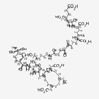 CC(=O)CN1CCN(CC(=O)O)CCN(CC(=O)N[C@H](CNC(=O)c2ccc([Si]([18F])(C(C)(C)C)C(C)(C)C)cc2)C(=O)N[C@H](CCCCNC(=O)CCC(=O)NCCC[C@@H](NC(=O)CC[C@H](NC(=O)N[C@@H](CCC(=O)O)C(=O)O)C(=O)O)C(=O)O)C(=O)O)CCN(CC(=O)O)CC1